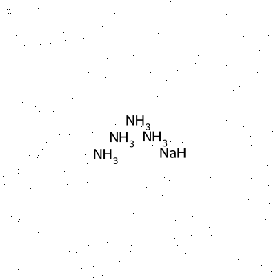 N.N.N.N.[NaH]